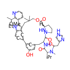 CCn1c(-c2cccnc2[C@H](C)OC)c2c3cc(ccc31)-c1cc(O)cc(c1)C[C@H](NC(=O)C(C(C)C)N(C)C(=O)Cc1c[nH]cn1)C(=O)N1CCC[C@H](N1)C(=O)OCC(C)(C)C2